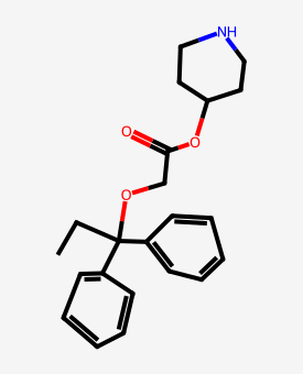 CCC(OCC(=O)OC1CCNCC1)(c1ccccc1)c1ccccc1